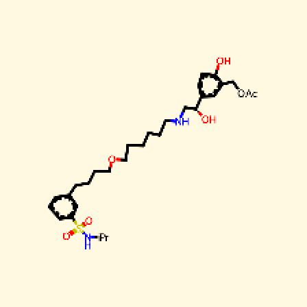 CC(=O)OCc1cc([C@@H](O)CNCCCCCCOCCCCc2cccc(S(=O)(=O)NC(C)C)c2)ccc1O